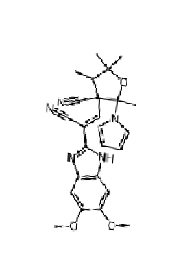 COc1cc2nc(C(C#N)=CC3(C#N)C(C)C(C)(C)OC3(C)n3cccc3)[nH]c2cc1OC